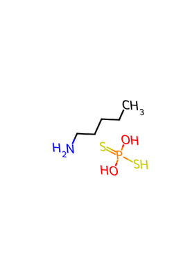 CCCCCN.OP(O)(=S)S